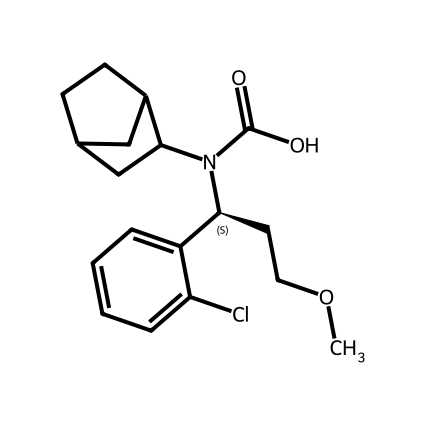 COCC[C@@H](c1ccccc1Cl)N(C(=O)O)C1CC2CCC1C2